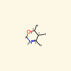 CC1=NCOC(C)C1C